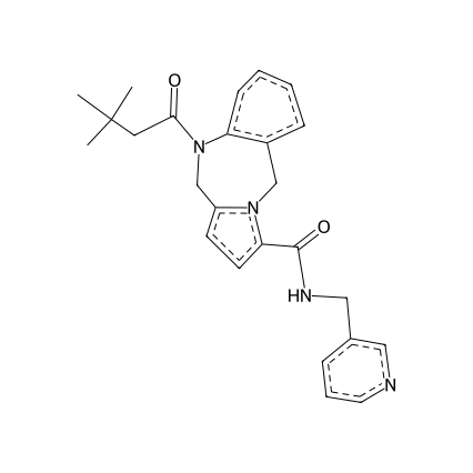 CC(C)(C)CC(=O)N1Cc2ccc(C(=O)NCc3cccnc3)n2Cc2ccccc21